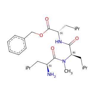 CC(C)C[C@H](NC(=O)[C@@H](CC(C)C)N(C)C(=O)[C@@H](N)CC(C)C)C(=O)OCc1ccccc1